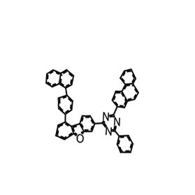 c1ccc(-c2nc(-c3ccc4c(ccc5ccccc54)c3)nc(-c3ccc4c(c3)oc3cccc(-c5ccc(-c6cccc7ccccc67)cc5)c34)n2)cc1